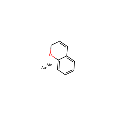 C1=Cc2ccccc2OC1.[Au].[Mo]